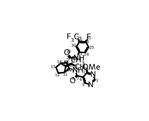 COc1ncncc1C(=O)N[C@@H]1C2CCC(C2=C(C)C)[C@@H]1C(=O)Nc1ccc(F)c(C(F)(F)F)c1